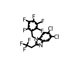 Fc1c(F)c(F)c(Cn2c(CC(F)(F)F)nc3cc(Cl)c(Cl)cc32)c(F)c1F